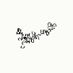 CC(C)CNC(=O)CNC(=O)C(Cc1ccccc1)NC(=O)CNC(=O)CNC(=O)CCCCCNC(=O)C(CC=O)C(C)C